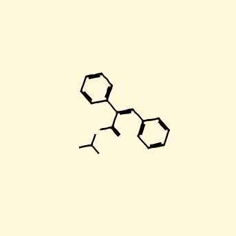 CC(C)OC(=O)/C(=C\c1ccccc1)c1ccccc1